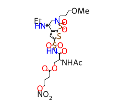 CCN[C@H]1CN(CCCOC)S(=O)(=O)c2sc(S(=O)(=O)NC(=O)C(COC(=O)CCCO[N+](=O)[O-])NC(C)=O)cc21